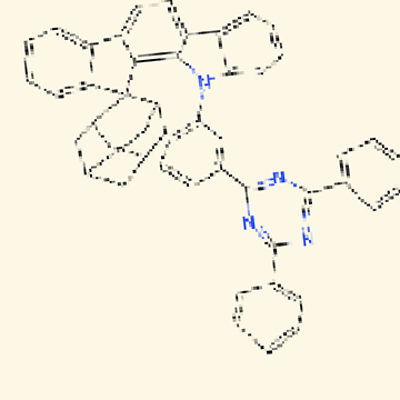 c1ccc(-c2nc(-c3ccccc3)nc(-c3cccc(-n4c5ccccc5c5ccc6c(c54)C4(c5ccccc5-6)C5CC6CC(C5)CC4C6)c3)n2)cc1